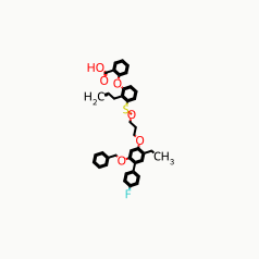 C=CCc1c(Oc2ccccc2C(=O)O)cccc1SOCCCOc1cc(OCc2ccccc2)c(-c2ccc(F)cc2)cc1CC